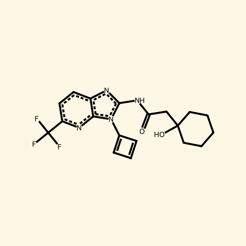 O=C(CC1(O)CCCCC1)Nc1nc2ccc(C(F)(F)F)nc2n1C1=CC=C1